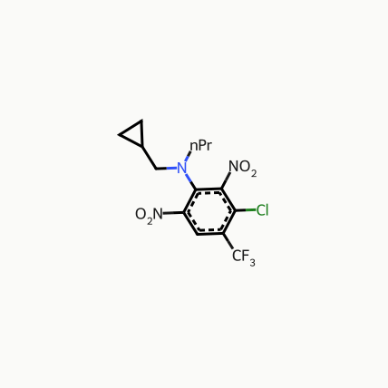 CCCN(CC1CC1)c1c([N+](=O)[O-])cc(C(F)(F)F)c(Cl)c1[N+](=O)[O-]